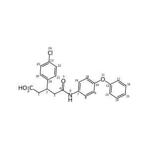 O=C(O)CC(CC(=O)Nc1ccc(Oc2ccccc2)cc1)c1ccc(Cl)cc1